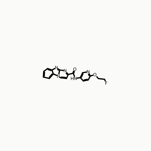 O=C(Nc1ccc(OCCF)nc1)c1ccn2c(n1)nc1ccccc12